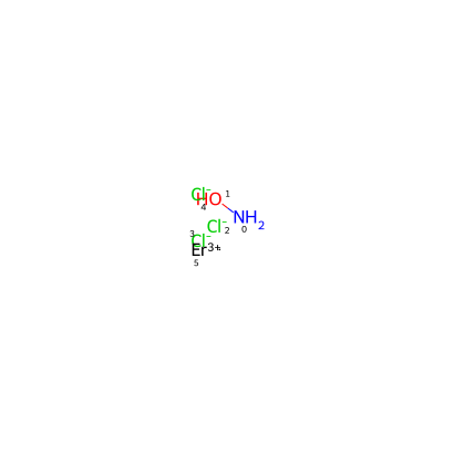 NO.[Cl-].[Cl-].[Cl-].[Er+3]